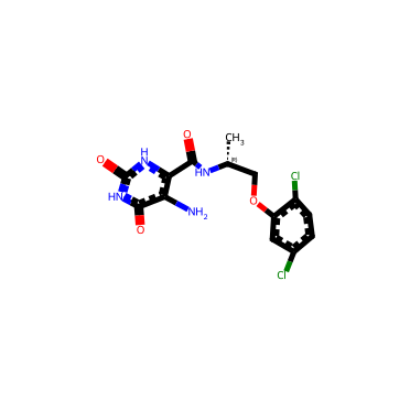 C[C@H](COc1cc(Cl)ccc1Cl)NC(=O)c1[nH]c(=O)[nH]c(=O)c1N